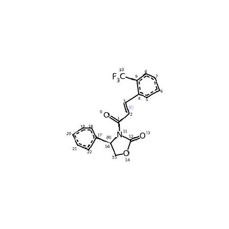 O=C(/C=C/c1ccccc1C(F)(F)F)N1C(=O)OC[C@H]1c1ccccc1